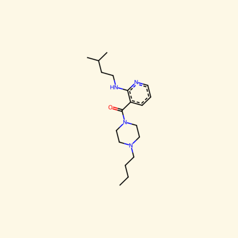 CCCCN1CCN(C(=O)c2cccnc2NCCC(C)C)CC1